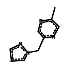 Cc1cnc(Cn2c[c]cn2)cn1